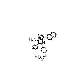 Nc1c(-c2ccsc2)c([C@H]2CC[C@@H](CC(=O)O)CC2)nc2c(-c3ccc4ccccc4c3)cnn12